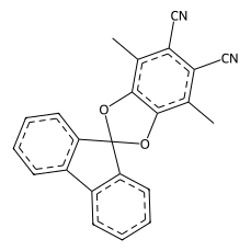 Cc1c(C#N)c(C#N)c(C)c2c1OC1(O2)c2ccccc2-c2ccccc21